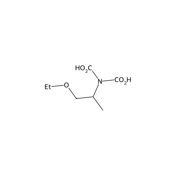 CCOCC(C)N(C(=O)O)C(=O)O